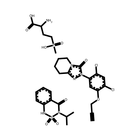 C#CCOc1cc(-n2nc3n(c2=O)CCCC3)c(Cl)cc1Cl.CC(C)N1C(=O)c2ccccc2NS1(=O)=O.CP(=O)(O)CCC(N)C(=O)O